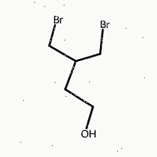 OCCC(CBr)CBr